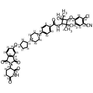 CC1(C)C(NC(=O)c2ccc(N3CCN([C@@H]4CC[C@H](Oc5ccc6c(c5)C(=O)N(C5CCC(=O)NC5=O)C6=O)C4)CC3)cc2)C(C)(C)C1Oc1ccc(C#N)c(Cl)c1